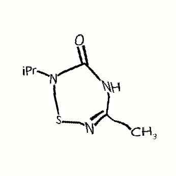 CC1=NSN(C(C)C)C(=O)N1